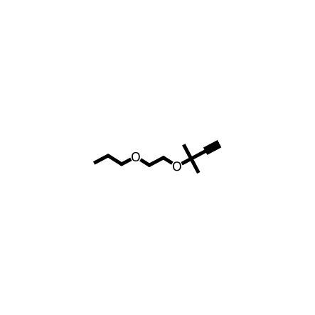 C#CC(C)(C)OCCOCCC